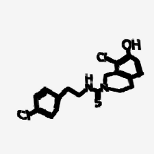 Oc1ccc2c(c1Cl)CN(C(=S)NCCc1ccc(Cl)cc1)CC2